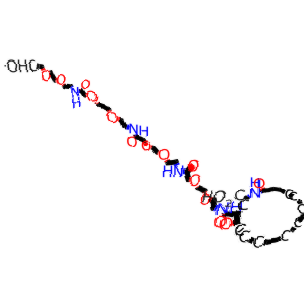 O=[C]COCCOCCNC(=O)COCCOCCNC(=O)COCCOCCNC(=O)COCCOCCNC(=O)C1C[C@@H](C(=O)O)NC(=O)CCCCCCCCCCCCCCCCC1=O